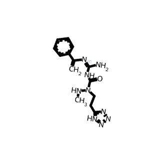 C=C(/N=C(/N)NC(=O)N(CCc1nnn[nH]1)NC)c1ccccc1